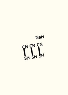 N#CS.N#CS.N#CS.[NaH]